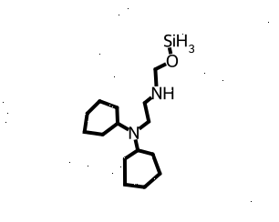 [SiH3]OCNCCN(C1CCCCC1)C1CCCCC1